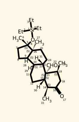 CC[Si](CC)(CC)O[C@@]1(C)CC[C@H]2[C@@H]3CC[C@H]4[C@H](C)C(=O)C[C@H](C)[C@]4(C=O)[C@H]3CC[C@@]21C